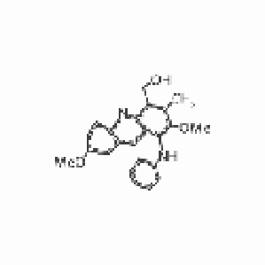 COc1ccc2nc3c(CO)c(C)c(OC)c(Nc4ccccc4)c3cc2c1